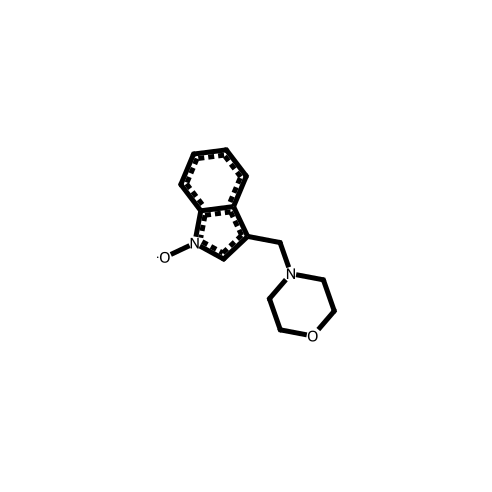 [O]n1cc(CN2CCOCC2)c2ccccc21